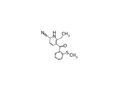 CCC1=C(C(=O)c2ccccc2SC)C=CC(C#N)N1